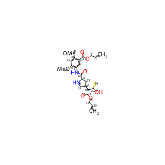 C=CCOC(=O)c1cc(NC(=O)C2C[C@@H]([C@@H](C(=O)OCC=C)C(O)=S)CN2)c(OC)cc1OC